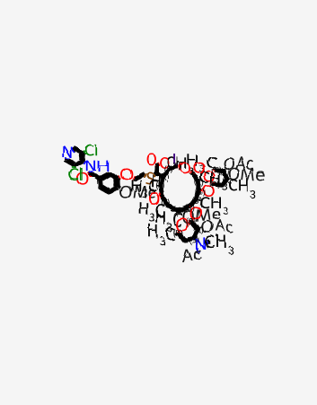 COc1ccc(C(=O)Nc2c(Cl)cncc2Cl)cc1OCCSC1C(=O)O[C@@]2(C)[C@H]1[C@@H](C)C(=O)[C@H](C)C[C@@](C)(OC)[C@H](O[C@@H]1O[C@H](C)C[C@H](N(C)C(C)=O)[C@H]1OC(C)=O)[C@@H](C)[C@H](O[C@H]1C[C@@](C)(OC)[C@@H](OC(C)=O)[C@H](C)O1)[C@@H](C)C(=O)O[C@@H]2I